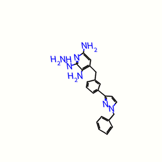 NNc1nc(N)cc(Cc2cccc(-c3ccn(Cc4ccccc4)n3)c2)c1N